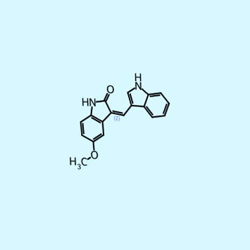 COc1ccc2c(c1)/C(=C/c1c[nH]c3ccccc13)C(=O)N2